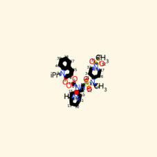 CC(C)n1c(=O)c(OC(=O)N[C@@H]2CC3CC[C@@H](C2)N3CCCS(=O)(=O)N(C)C2CCN(S(C)(=O)=O)CC2)cc2ccccc21